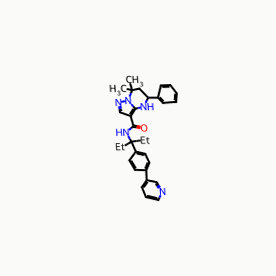 CCC(CC)(NC(=O)c1cnn2c1NC(c1ccccc1)CC2(C)C)c1ccc(-c2cccnc2)cc1